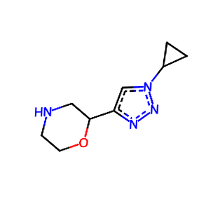 c1c(C2CNCCO2)nnn1C1CC1